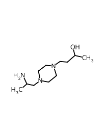 CC(N)CN1CCN(CCC(C)O)CC1